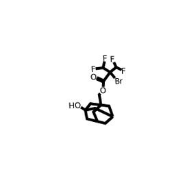 O=C(OCC12CC3CC(CC(O)(C3)C1)C2)C(Br)(C(F)F)C(F)F